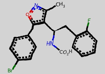 Cc1noc(-c2ccc(Br)cc2)c1[C@@H](Cc1ccccc1F)NC(=O)O